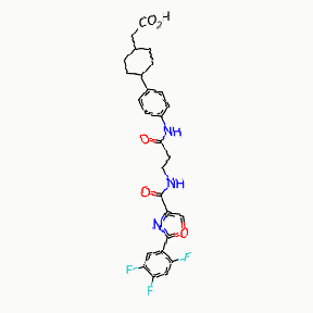 O=C(O)CC1CCC(c2ccc(NC(=O)CCNC(=O)c3coc(-c4cc(F)c(F)cc4F)n3)cc2)CC1